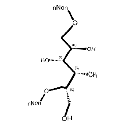 CCCCCCCCCOC[C@@H](O)[C@@H](O)[C@H](O)[C@H](CO)OCCCCCCCCC